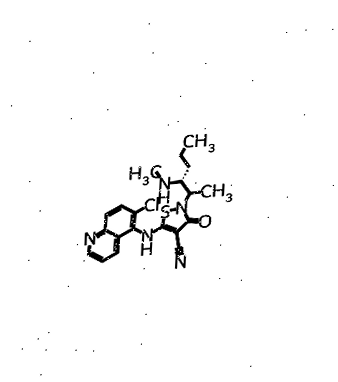 CCC[C@@H](NC)C(C)n1sc(Nc2c(Cl)ccc3ncccc23)c(C#N)c1=O